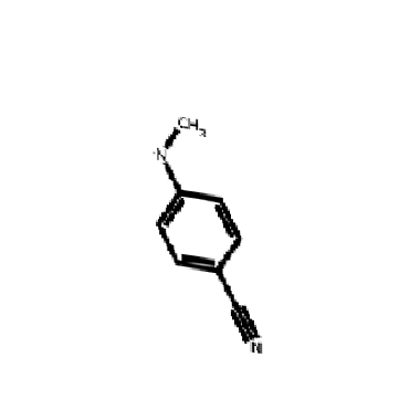 C[N]c1ccc(C#N)cc1